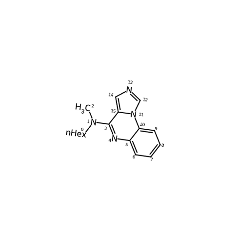 CCCCCCN(C)c1nc2ccccc2n2cncc12